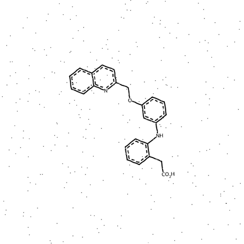 O=C(O)Cc1ccccc1Nc1cccc(OCc2ccc3ccccc3n2)c1